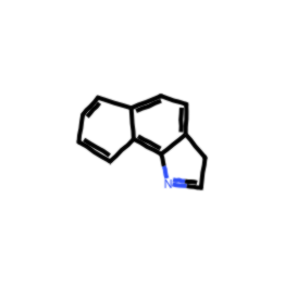 [c]1cccc2ccc3c(c12)N=CC3